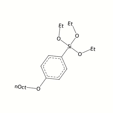 CCCCCCCCOc1ccc([Si](OCC)(OCC)OCC)cc1